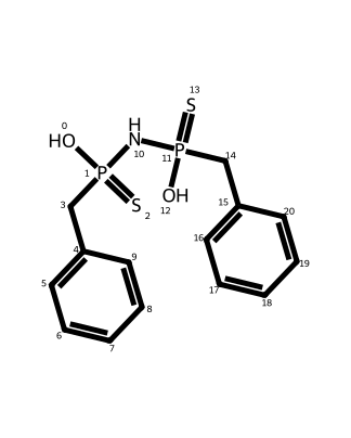 OP(=S)(Cc1ccccc1)NP(O)(=S)Cc1ccccc1